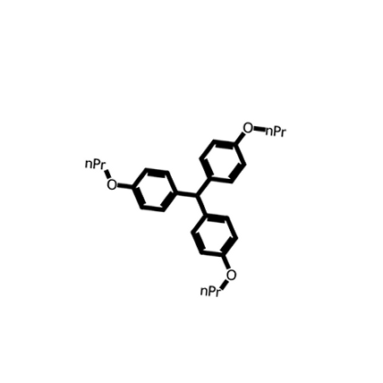 CCCOc1ccc(C(c2ccc(OCCC)cc2)c2ccc(OCCC)cc2)cc1